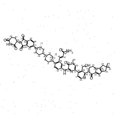 C[C@@H]1CC(N2CCN(c3ccc(Nc4nc(-c5ccnc(N6CCn7c(cc8c7CC(C)(C)C8)C6=O)c5CO)cn(C)c4=O)cc3C=CC(N)=O)[C@@H](C)C2)CCN1c1ccc2c(c1)C(=O)N(C1CCC(=O)NC1=O)C2=O